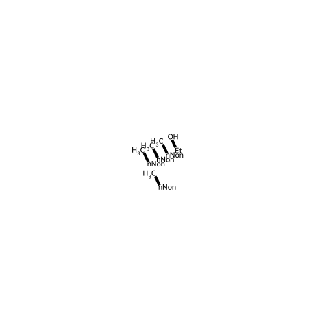 CCCCCCCCCC.CCCCCCCCCC.CCCCCCCCCC.CCCCCCCCCC.CCO